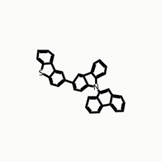 c1ccc2c(c1)cc(-n1c3ccccc3c3cc(-c4ccc5sc6ccccc6c5c4)ccc31)c1ccccc12